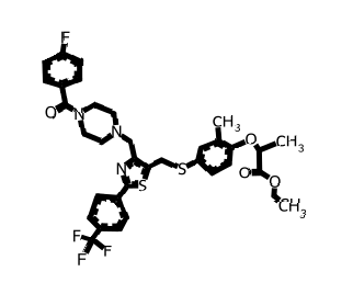 CCOC(=O)C(C)Oc1ccc(SCc2sc(-c3ccc(C(F)(F)F)cc3)nc2CN2CCN(C(=O)c3ccc(F)cc3)CC2)cc1C